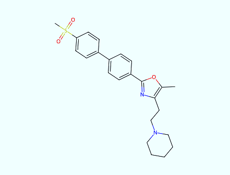 Cc1oc(-c2ccc(-c3ccc(S(C)(=O)=O)cc3)cc2)nc1CCN1CCCCC1